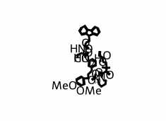 C=CC(=O)OCC(C)(C)C(=O)C(=O)N1CCCC[C@H]1C(=O)OC(CCc1ccc(OC)c(OC)c1)c1cccc(NC(=O)C(CC(=O)O)NC(=O)OCC2c3ccccc3-c3ccccc32)c1